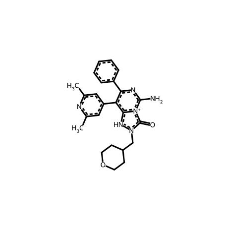 Cc1cc(-c2c(-c3ccccc3)nc(N)[n+]3c(=O)n(CC4CCOCC4)[nH]c23)cc(C)n1